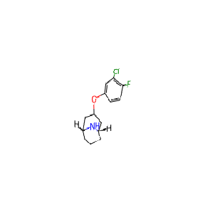 Fc1ccc(OC2C[C@H]3CCC[C@@H](C2)N3)cc1Cl